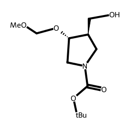 COCO[C@H]1CN(C(=O)OC(C)(C)C)C[C@@H]1CO